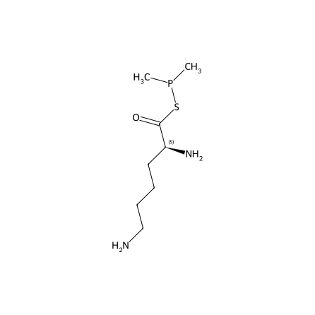 CP(C)SC(=O)[C@@H](N)CCCCN